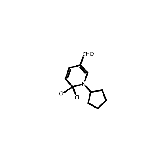 O=CC1=CN(C2CCCC2)C(Cl)(Cl)C=C1